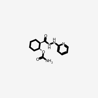 NC(=O)O[C@@H]1CCCC[C@H]1C(=O)NNc1ccccn1